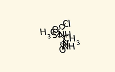 CSc1cc(C(C)c2ccc(=O)[nH]n2)[nH]c1C(=O)c1ccc(Cl)cc1